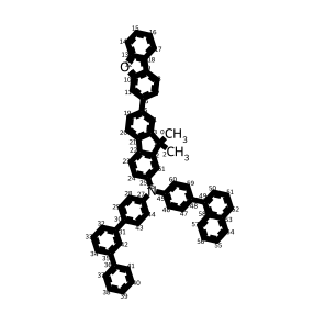 CC1(C)c2cc(-c3ccc4c(c3)oc3ccccc34)ccc2-c2ccc(N(c3ccc(-c4cccc(-c5ccccc5)c4)cc3)c3ccc(-c4cccc5ccccc45)cc3)cc21